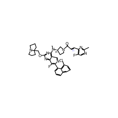 Cc1ncc(F)c(/C=C/C(=O)N2CC[C@@H](N(C)c3nc(OCC45CCCN4CCC5)nc4c(F)c(-c5cccc6cccc(Cl)c56)ncc34)C2)n1